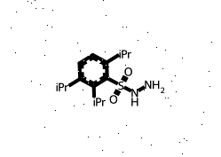 CC(C)c1ccc(C(C)C)c(S(=O)(=O)NN)c1C(C)C